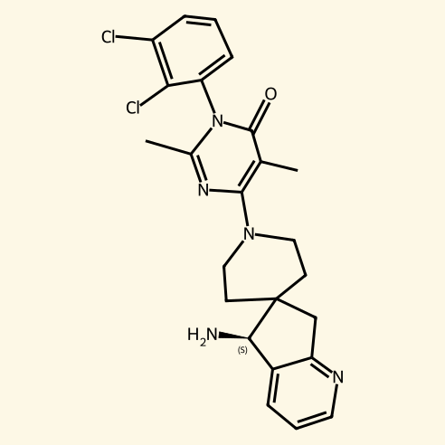 Cc1c(N2CCC3(CC2)Cc2ncccc2[C@H]3N)nc(C)n(-c2cccc(Cl)c2Cl)c1=O